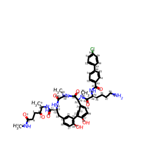 CNC(=O)CCC(=O)[C@H](C)NC(=O)[C@@H]1Cc2ccc(O)c(c2)-c2cc(ccc2O)[C@H](N(C)C(=O)[C@H](CCCCN)NC(=O)c2ccc(-c3ccc(Cl)cc3)cc2)C(=O)N[C@@H](C)C(=O)N1